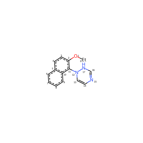 CCOc1ccc2ccccc2c1N1C=CN=CN1